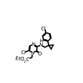 CCOC(=O)Cn1c(Cl)cnc(NCC2(c3ccc(Cl)cc3)CC2)c1=O